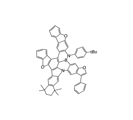 CC(C)(C)c1ccc(N2B3c4cc5occ(-c6ccccc6)c5cc4-n4c5cc6c(cc5c5c7oc8ccccc8c7c(c3c54)-c3cc4c(cc32)oc2ccccc24)C(C)(C)CCC6(C)C)cc1